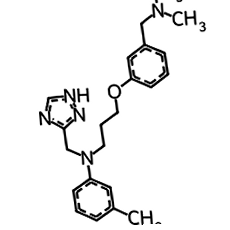 Cc1cccc(N(CCCOc2cccc(CN(C)C)c2)Cc2nc[nH]n2)c1